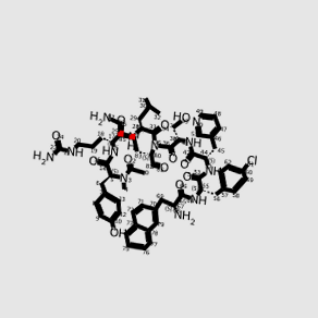 CC(=O)N(C)[C@@H](Cc1ccc(O)cc1)C(=O)N[C@H](CCCNC(N)=O)C(=O)N[C@@H](CC(C)C)C(=O)N(C(=O)[C@H](CO)NC(=O)[C@H](Cc1cccnc1)NC(=O)[C@H](Cc1ccc(Cl)cc1)NC(=O)[C@@H](N)Cc1ccc2ccccc2c1)[C@H]([C]=O)CCCCN